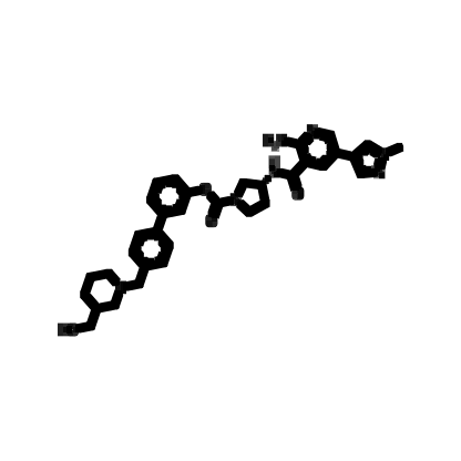 Cn1cc(-c2cnc(N)c(C(=O)N[C@@H]3CCN(C(=O)Oc4cccc(-c5ccc(CN6CCCC(CO)C6)cc5)c4)C3)c2)cn1